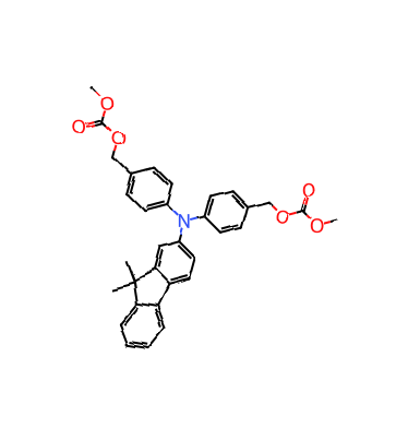 COC(=O)OCc1ccc(N(c2ccc(COC(=O)OC)cc2)c2ccc3c(c2)C(C)(C)c2ccccc2-3)cc1